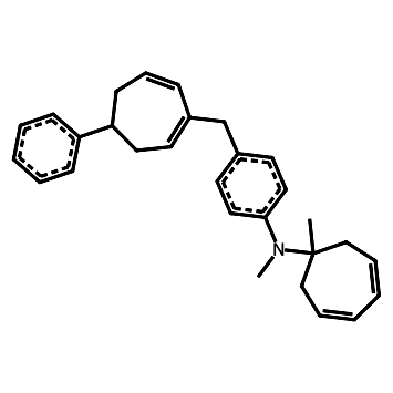 CN(c1ccc(CC2=CCC(c3ccccc3)CC=C2)cc1)C1(C)CC=CC=CC1